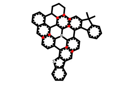 CC1(C)c2ccccc2-c2c(-c3ccccc3N(c3ccccc3-c3cccc4c3sc3ccccc34)c3ccccc3-c3cccc4cccc(C5CCCCC5)c34)cccc21